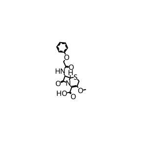 COC1=C(C(=O)O)N2C(=O)[C@@H](NC(=O)COc3ccccc3)[C@@H]2SC1